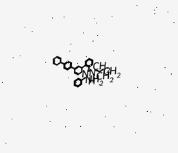 C=CC(=C)C(=C)NC(/N=C(\N)c1ccccc1)c1ccccc1C1C=C(c2ccc(C3C=CC=CC3)cc2)C=CC1